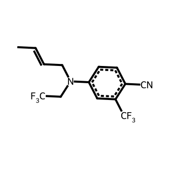 CC=CCN(CC(F)(F)F)c1ccc(C#N)c(C(F)(F)F)c1